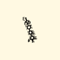 CCC1COC(c2ccc(-c3ccc(-c4cc(F)c(F)c(F)c4)c(F)c3)cc2)OC1